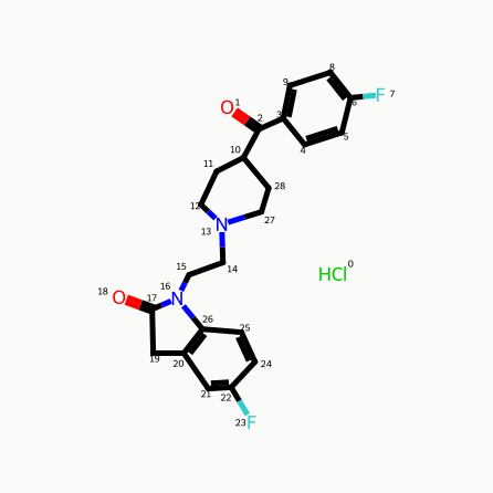 Cl.O=C(c1ccc(F)cc1)C1CCN(CCN2C(=O)Cc3cc(F)ccc32)CC1